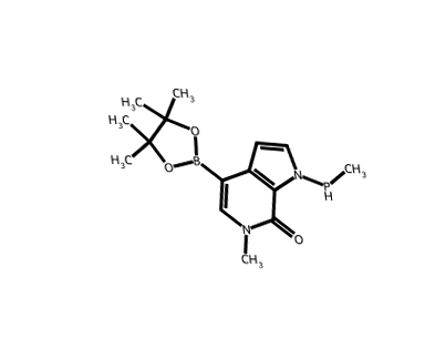 CPn1ccc2c(B3OC(C)(C)C(C)(C)O3)cn(C)c(=O)c21